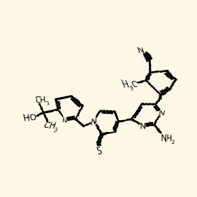 Cc1c(C#N)cccc1-c1cc(-c2ccn(Cc3cccc(C(C)(C)O)n3)c(=S)c2)nc(N)n1